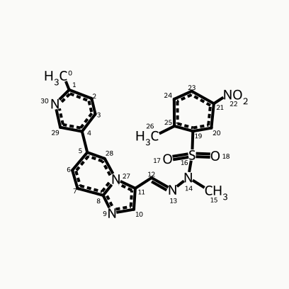 Cc1ccc(-c2ccc3ncc(/C=N/N(C)S(=O)(=O)c4cc([N+](=O)[O-])ccc4C)n3c2)cn1